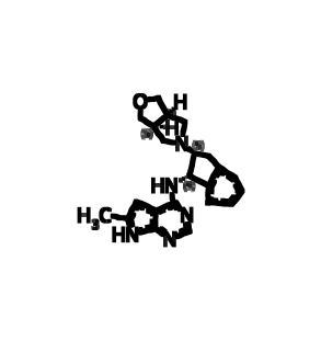 Cc1cc2c(N[C@H]3c4ccccc4C[C@@H]3N3C[C@H]4COC[C@H]4C3)ncnc2[nH]1